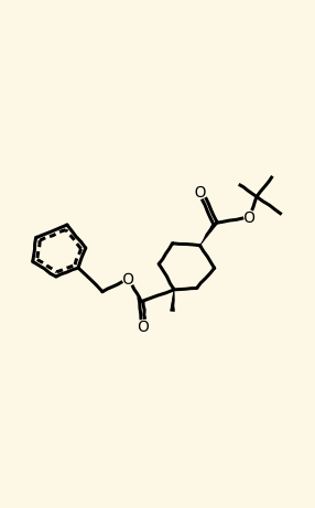 CC(C)(C)OC(=O)[C@H]1CC[C@](C)(C(=O)OCc2ccccc2)CC1